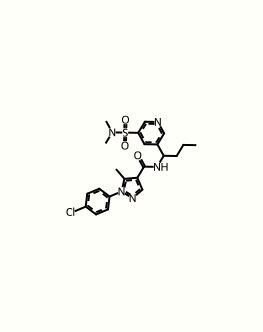 CCCC(NC(=O)c1cnn(-c2ccc(Cl)cc2)c1C)c1cncc(S(=O)(=O)N(C)C)c1